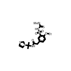 CCOc1ccc(CC(=O)NC(C)(C)N2C=CSC2)cc1S(=O)(=O)NC(=S)NC